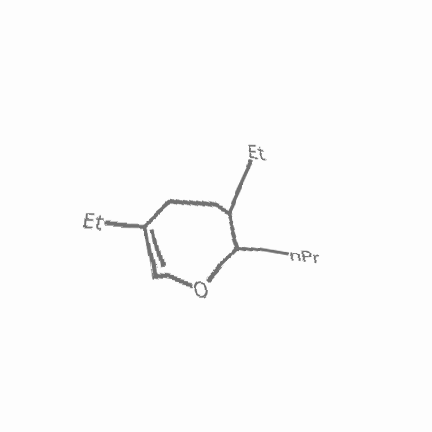 CCCC1OC=C(CC)CC1CC